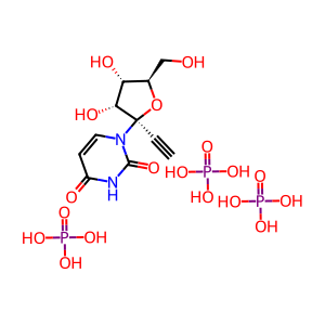 C#C[C@@]1(n2ccc(=O)[nH]c2=O)O[C@H](CO)[C@@H](O)[C@H]1O.O=P(O)(O)O.O=P(O)(O)O.O=P(O)(O)O